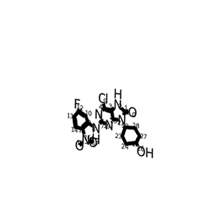 O=c1[nH]c2c(Cl)nc(Nc3cc(F)ccc3[N+](=O)[O-])nc2n1C1CCC(O)CC1